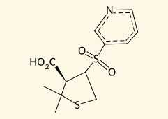 CC1(C)SCC(S(=O)(=O)c2cccnc2)[C@@H]1C(=O)O